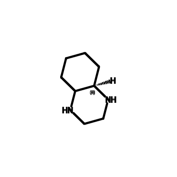 C1CC[C@H]2NCCNC2C1